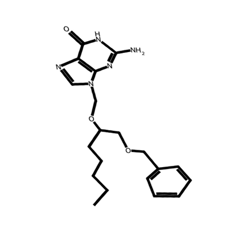 CCCCCC(COCc1ccccc1)OCn1cnc2c(=O)[nH]c(N)nc21